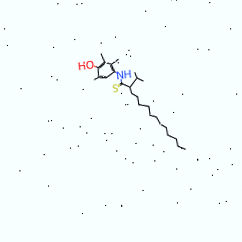 CCCCCCCCCCCCC(C(=S)Nc1cc(C)c(O)c(C)c1C)C(C)C